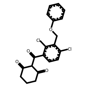 O=C1CCCC(=O)C1C(=O)c1ccc(Cl)c(COc2ccccc2)c1Cl